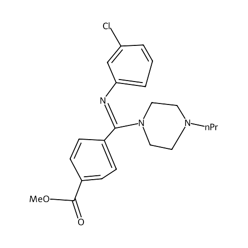 CCCN1CCN(/C(=N\c2cccc(Cl)c2)c2ccc(C(=O)OC)cc2)CC1